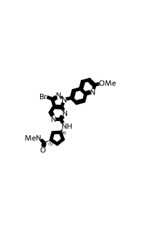 CNC(=O)[C@H]1CC[C@@H](Nc2ncc3c(Br)nn(-c4ccc5nc(OC)ccc5c4)c3n2)C1